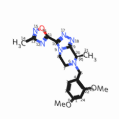 COc1ccc(CN2CCn3c(-c4nc(C)no4)nnc3[C@H]2C)c(OC)c1